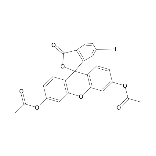 CC(=O)Oc1ccc2c(c1)Oc1cc(OC(C)=O)ccc1C21OC(=O)c2ccc(I)cc21